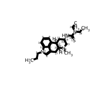 CCCn1cc2c3c(cccc31)[C@H]1C[C@H](NC(=S)N(CC)CC)CN(C)[C@@H]1C2